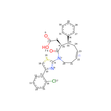 O=C(O)C[C@@H]1C(=O)N(c2nc(-c3ccccc3Cl)cs2)CC/C=C\C[C@@H]1c1ccccc1